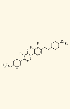 C=CC1CCC(c2ccc(-c3ccc(CCC4CCC(OCC)CC4)c(F)c3F)c(F)c2F)CO1